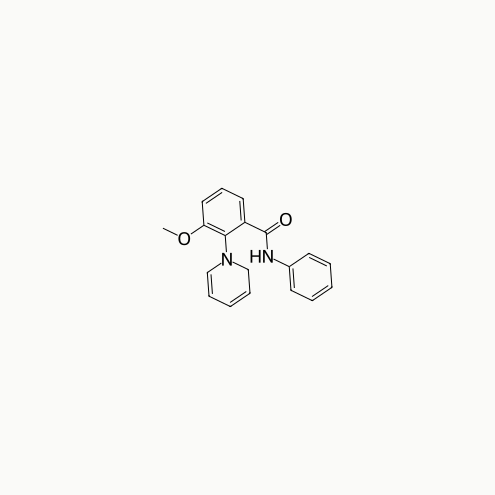 COc1cccc(C(=O)Nc2ccccc2)c1N1C=CC=CC1